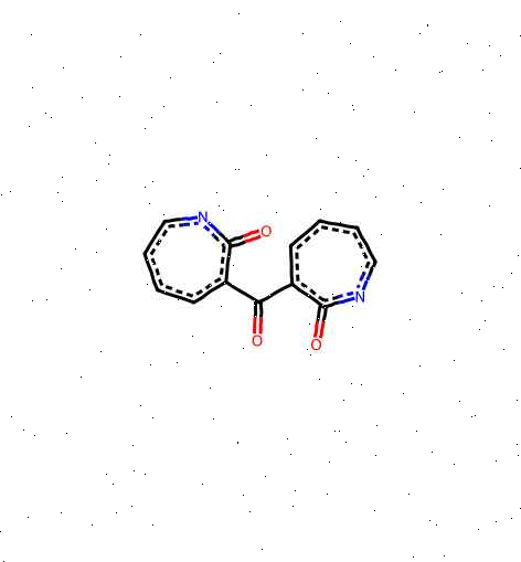 O=C(c1ccccnc1=O)c1ccccnc1=O